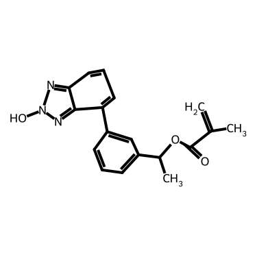 C=C(C)C(=O)OC(C)c1cccc(-c2cccc3nn(O)nc23)c1